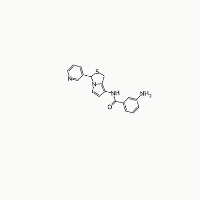 Nc1cccc(C(=O)Nc2ccn3c2CSC3c2cccnc2)c1